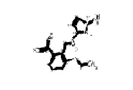 CCOc1cccc(C(=O)Br)c1COc1ccn(O)n1